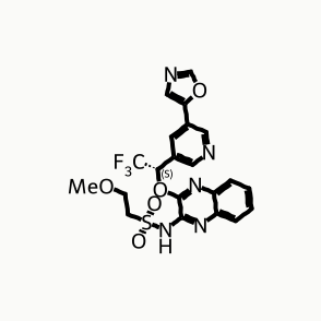 COCCS(=O)(=O)Nc1nc2ccccc2nc1O[C@@H](c1cncc(-c2cnco2)c1)C(F)(F)F